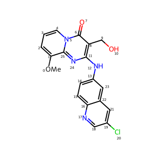 COc1cccn2c(=O)c(CO)c(Nc3ccc4ncc(Cl)cc4c3)nc12